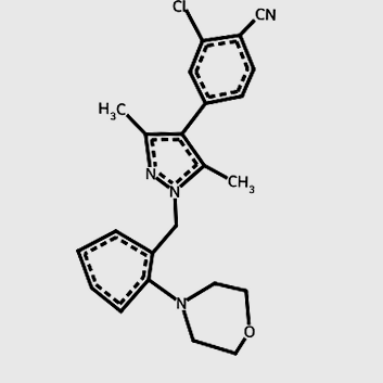 Cc1nn(Cc2ccccc2N2CCOCC2)c(C)c1-c1ccc(C#N)c(Cl)c1